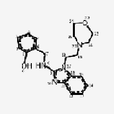 Oc1ccccc1CNc1nc2ccccc2n1CCN1CCOCC1